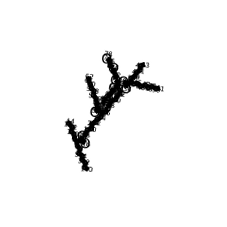 CCCCCCCCC(CCCCCC)C(=O)OCCCCCCCC(COCCCCCCOC(=O)C(CCCCCC)CCCCCCCC)C(=O)N(CCCCCCCC)CCOCCOCCOCCOCCOC